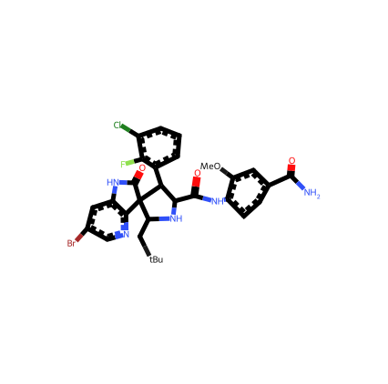 COc1cc(C(N)=O)ccc1NC(=O)C1NC(CC(C)(C)C)C2(C(=O)Nc3cc(Br)cnc32)C1c1cccc(Cl)c1F